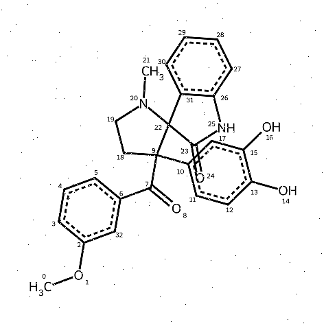 COc1cccc(C(=O)C2(c3ccc(O)c(O)c3)CCN(C)C23C(=O)Nc2ccccc23)c1